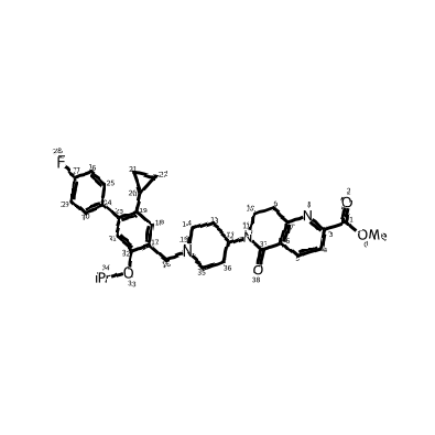 COC(=O)c1ccc2c(n1)CCN(C1CCN(Cc3cc(C4CC4)c(-c4ccc(F)cc4)cc3OC(C)C)CC1)C2=O